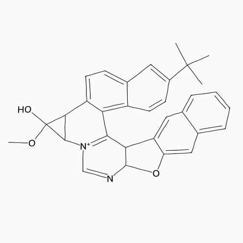 COC1(O)C2c3ccc4cc(C(C)(C)C)ccc4c3C3=[N+](C=NC4Oc5cc6ccccc6cc5C34)C21